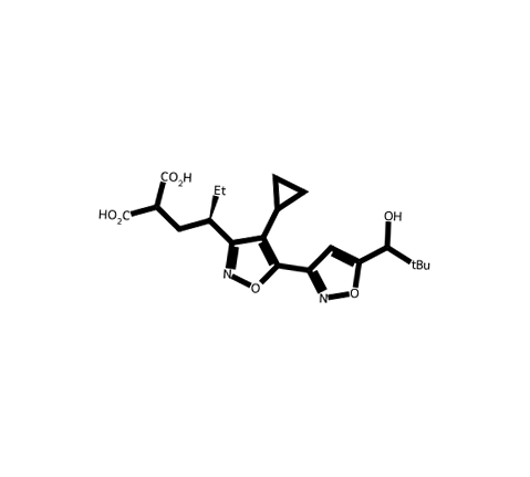 CC[C@H](CC(C(=O)O)C(=O)O)c1noc(-c2cc(C(O)C(C)(C)C)on2)c1C1CC1